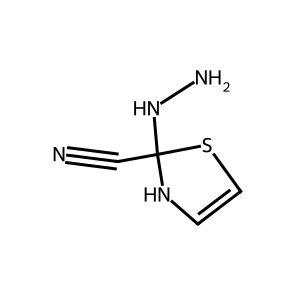 N#CC1(NN)NC=CS1